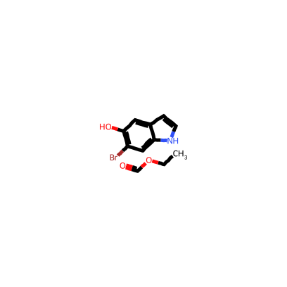 CCOC=O.Oc1cc2cc[nH]c2cc1Br